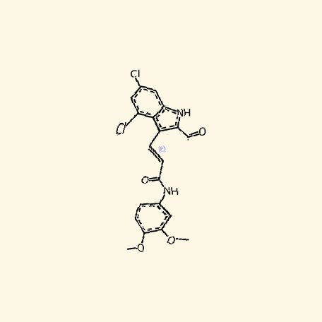 COc1ccc(NC(=O)/C=C/c2c([C]=O)[nH]c3cc(Cl)cc(Cl)c23)cc1OC